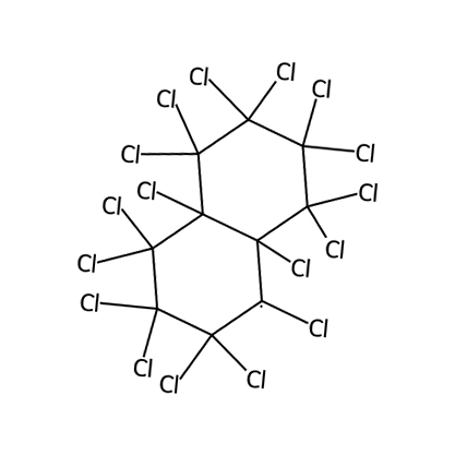 Cl[C]1C(Cl)(Cl)C(Cl)(Cl)C(Cl)(Cl)C2(Cl)C(Cl)(Cl)C(Cl)(Cl)C(Cl)(Cl)C(Cl)(Cl)C12Cl